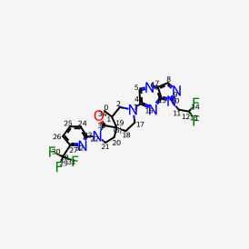 CC1CN(c2cnc3cnn(CC(F)F)c3n2)CC[C@]12CCN(c1cccc(C(F)(F)F)n1)C2=O